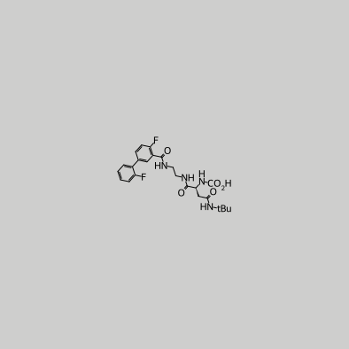 CC(C)(C)NC(=O)C[C@H](NC(=O)O)C(=O)NCCNC(=O)c1cc(-c2ccccc2F)ccc1F